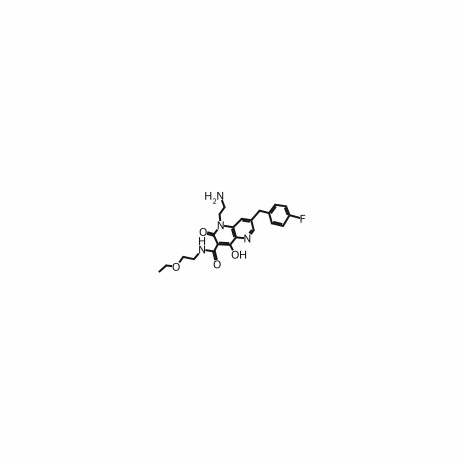 CCOCCNC(=O)c1c(O)c2ncc(Cc3ccc(F)cc3)cc2n(CCN)c1=O